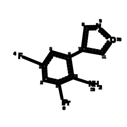 CC(C)c1cc(F)cc(-c2cnoc2)c1N